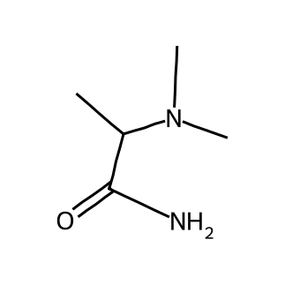 CC(C(N)=O)N(C)C